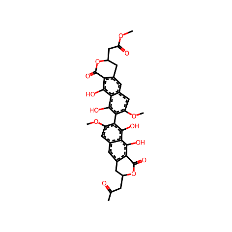 COC(=O)CC1Cc2cc3cc(OC)c(-c4c(OC)cc5cc6c(c(O)c5c4O)C(=O)OC(CC(C)=O)C6)c(O)c3c(O)c2C(=O)O1